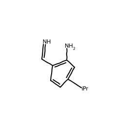 CC(C)c1ccc(C=N)c(N)c1